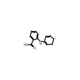 O=C(O)c1ccccc1NC1=CCCC=C1